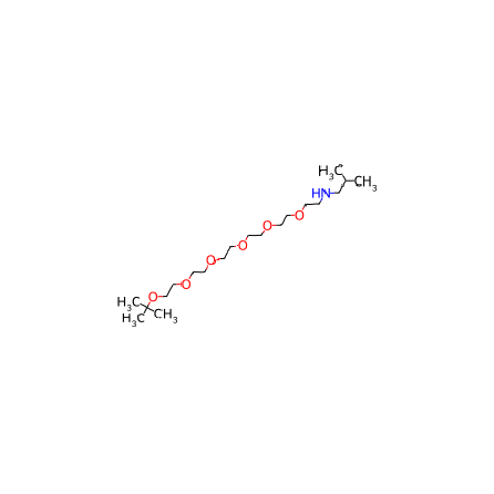 CC(C)CNCCOCCOCCOCCOCCOCCOC(C)(C)C